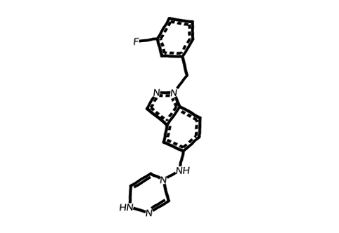 Fc1cccc(Cn2ncc3cc(NN4C=CNN=C4)ccc32)c1